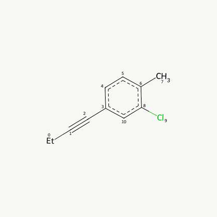 CCC#Cc1ccc(C)c(Cl)c1